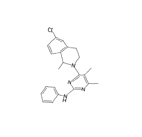 Cc1nc(Nc2ccccc2)nc(N2CCc3cc(Cl)ccc3C2C)c1C